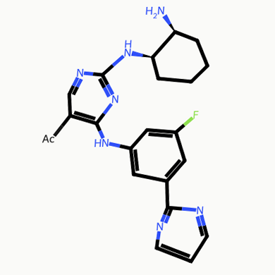 CC(=O)c1cnc(N[C@@H]2CCCC[C@@H]2N)nc1Nc1cc(F)cc(-c2ncccn2)c1